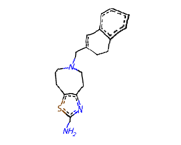 Nc1nc2c(s1)CCN(CC1=Cc3ccccc3CC1)CC2